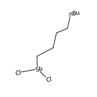 CCCCCCC[CH2][Sb]([Cl])[Cl]